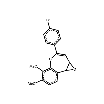 COc1ccc2c(c1OC)OC(c1ccc(Br)cc1)=CC1OC21